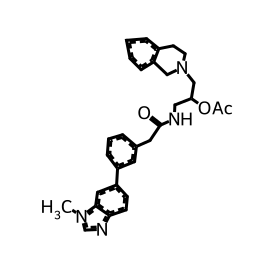 CC(=O)OC(CNC(=O)Cc1cccc(-c2ccc3ncn(C)c3c2)c1)CN1CCc2ccccc2C1